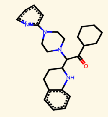 O=C(C1CCCCC1)C(C1CCc2ccccc2N1)N1CCN(c2ccccn2)CC1